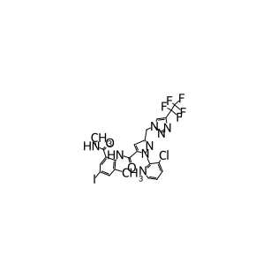 CNC(=O)c1cc(I)cc(C)c1NC(=O)c1cc(Cn2cc(C(F)(F)C(F)(F)F)nn2)nn1-c1ncccc1Cl